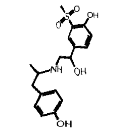 CC(Cc1ccc(O)cc1)NCC(O)c1ccc(O)c(S(C)(=O)=O)c1